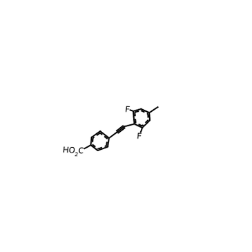 Cc1cc(F)c(C#Cc2ccc(C(=O)O)cc2)c(F)c1